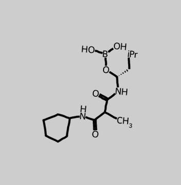 CC(C)C[C@H](NC(=O)C(C)C(=O)NC1CCCCC1)OB(O)O